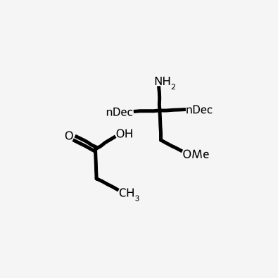 CCC(=O)O.CCCCCCCCCCC(N)(CCCCCCCCCC)COC